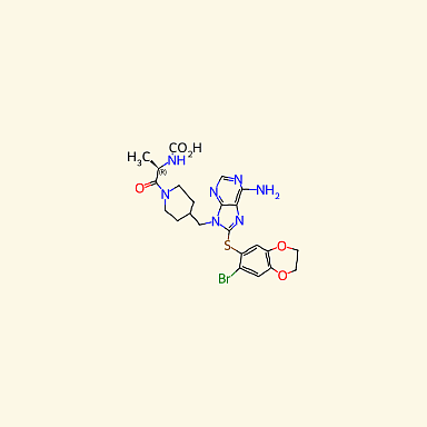 C[C@@H](NC(=O)O)C(=O)N1CCC(Cn2c(Sc3cc4c(cc3Br)OCCO4)nc3c(N)ncnc32)CC1